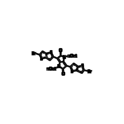 CCCCCCCCN1C(=O)C(c2cc3sc(Br)cc3s2)=C2C1=C(c1cc3sc(Br)cc3s1)C(=O)N2CCCCCCCC